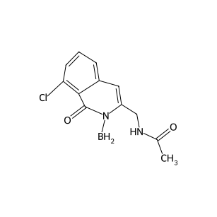 Bn1c(CNC(C)=O)cc2cccc(Cl)c2c1=O